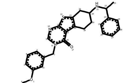 COc1cccc(Cn2cnc3sc4c(c3c2=O)CCC(NC(C)c2ccccc2)C4)c1